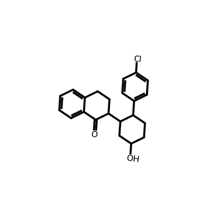 O=C1c2ccccc2CCC1C1CC(O)CCC1c1ccc(Cl)cc1